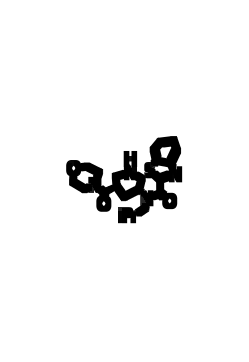 CC(C)CN(C(=O)c1nc2ccccc2s1)[C@@H]1CNC[C@H](C(=O)N2CCOCC2)C1